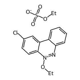 CCOS(=O)(=O)[O-].CCO[n+]1nc2ccccc2c2cc(Cl)ccc21